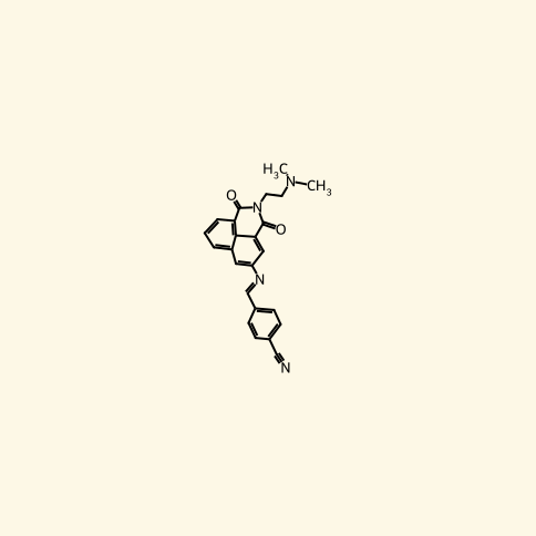 CN(C)CCN1C(=O)c2cccc3cc(N=Cc4ccc(C#N)cc4)cc(c23)C1=O